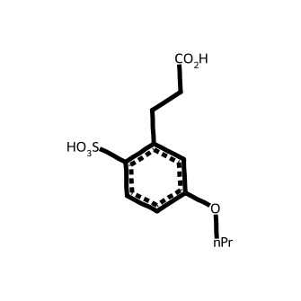 CCCOc1ccc(S(=O)(=O)O)c(CCC(=O)O)c1